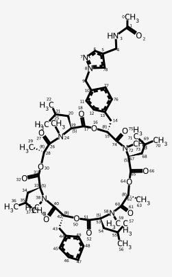 CC(=O)NCc1cnn(Cc2ccc(C[C@H]3OC(=O)[C@H](CC(C)C)N(C)C(=O)[C@@H](C)OC(=O)[C@H](CC(C)C)N(C)C(=O)[C@@H](Cc4ccccc4)OC(=O)[C@H](CC(C)C)N(C)C(=O)[C@@H](C)OC(=O)[C@H](CC(C)C)N(C)C3=O)cc2)c1